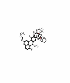 CCc1c(F)ccc2cc(OCOC)cc(-c3c(F)cc4c(N5CC6CCC(C5)N6C(=O)OC(C)(C)C)nc(OC)nc4c3F)c12